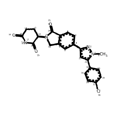 Cn1nc(-c2ccc3c(c2)CN(C2CCC(=O)NC2=O)C3=O)cc1-c1ccc(Cl)cc1